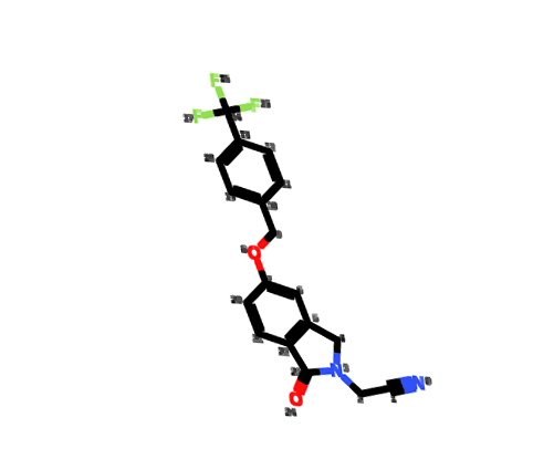 N#CCN1Cc2cc(OCc3ccc(C(F)(F)F)cc3)ccc2C1=O